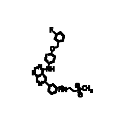 CS(=O)(=O)CCNCc1cccc(-c2cc3c(Nc4ccc(OCc5cccc(F)c5)cc4)ncnc3cn2)c1